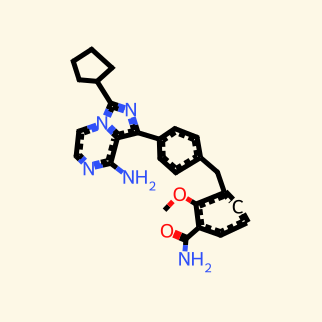 COc1c(Cc2ccc(-c3nc(C4CCCC4)n4ccnc(N)c34)cc2)cccc1C(N)=O